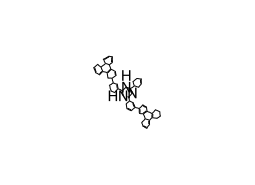 C1=CCC2C(=C1)C1=C(CCCC1)c1ccc(C3=CC(C4N=C(C5CC=CCC5)NC(C5=CC(C6C=CC7=C(C6)C6=CC=CCC6C6C=CC=CC76)CCC5)N4)CC=C3)cc12